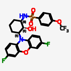 O=S(=O)(N[C@@H]1CCC[C@H](N2c3ccc(F)cc3Oc3cc(F)ccc32)[C@H]1O)c1ccc(OC(F)(F)F)cc1